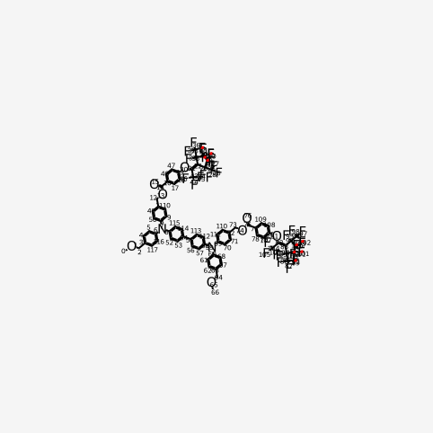 COCc1ccc(N(c2ccc(COC(=O)c3ccc(OC(=C(C(F)(C(F)(F)F)C(F)(F)F)C(F)(C(F)(F)F)C(F)(F)F)C(F)(F)F)cc3)cc2)c2ccc(-c3ccc(N(c4ccc(COC)cc4)c4ccc(COC(=O)c5ccc(OC(=C(C(F)(C(F)(F)F)C(F)(F)F)C(F)(C(F)(F)F)C(F)(F)F)C(F)(F)F)cc5)cc4)cc3)cc2)cc1